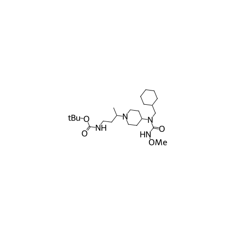 CONC(=O)N(CC1CCCCC1)C1CCN(C(C)CCNC(=O)OC(C)(C)C)CC1